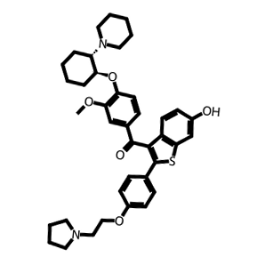 COc1cc(C(=O)c2c(-c3ccc(OCCN4CCCC4)cc3)sc3cc(O)ccc23)ccc1O[C@H]1CCCC[C@@H]1N1CCCCC1